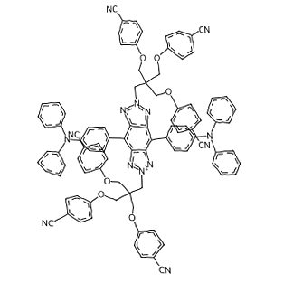 N#Cc1ccc(OCC(COc2ccc(C#N)cc2)(COc2ccc(C#N)cc2)Cn2nc3c(-c4ccc(N(c5ccccc5)c5ccccc5)cc4)c4n[n+](CC(COc5ccc(C#N)cc5)(COc5ccc(C#N)cc5)COc5ccc(C#N)cc5)[n-]c4c(-c4ccc(N(c5ccccc5)c5ccccc5)cc4)c3n2)cc1